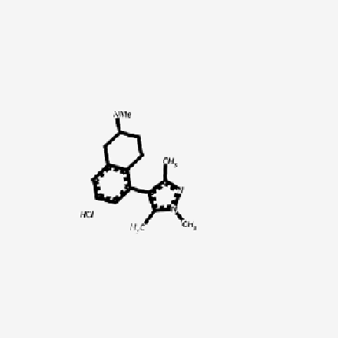 CNC1CCc2c(cccc2-c2c(C)nn(C)c2C)C1.Cl